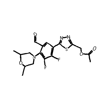 CC(=O)OCc1nnc(-c2cc(C=O)c(N3CC(C)OC(C)C3)c(F)c2F)s1